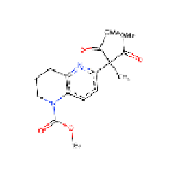 COC(=O)C(C)(C(=O)OC)c1ccc2c(n1)CCCN2C(=O)OC(C)(C)C